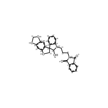 O=C1c2ccccc2C(=O)N1CCCN1c2ccccc2C2(COc3cc4c(cc32)OCO4)C1O